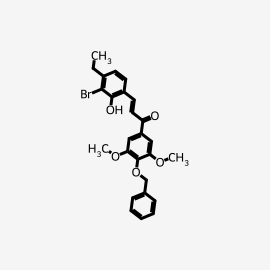 CCc1ccc(C=CC(=O)c2cc(OC)c(OCc3ccccc3)c(OC)c2)c(O)c1Br